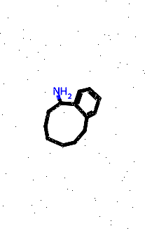 NC1CCCCCCc2ccccc21